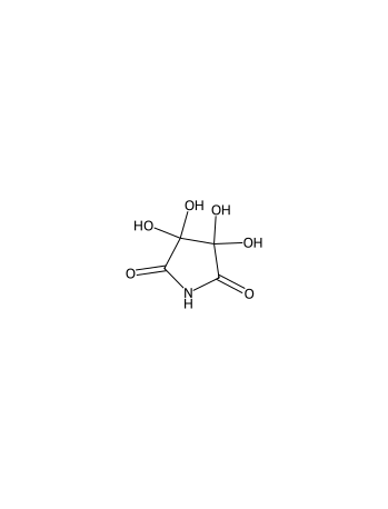 O=C1NC(=O)C(O)(O)C1(O)O